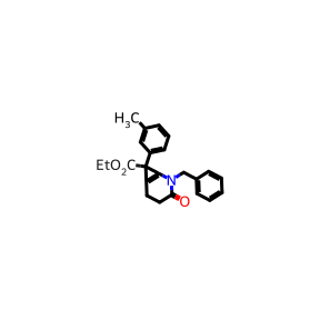 CCOC(=O)C1(c2cccc(C)c2)C2=C1N(Cc1ccccc1)C(=O)CC2